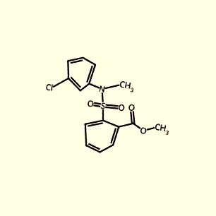 COC(=O)c1ccccc1S(=O)(=O)N(C)c1cccc(Cl)c1